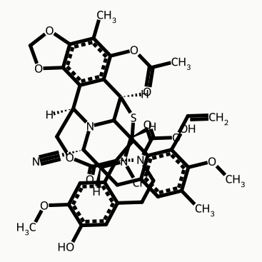 C=COC(=O)N1CCc2cc(O)c(OC)cc2[C@@]12CS[C@@H]1c3c(OC(C)=O)c(C)c4c(c3[C@H](COC2=O)N2C1[C@@H]1c3c(cc(C)c(OC)c3O)C[C@H]([C@@H]2C#N)N1C)OCO4